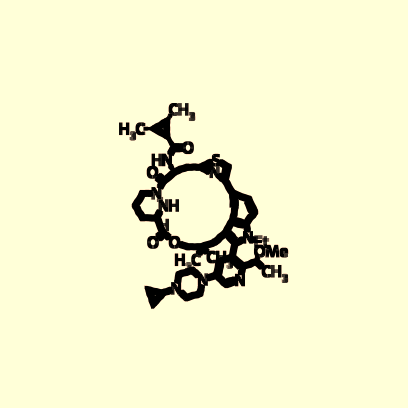 CCn1c(-c2cc(N3CCN(C4CC4)CC3)cnc2[C@H](C)OC)c2c3cc(ccc31)-c1csc(n1)C[C@H](NC(=O)[C@H]1[C@H](C)[C@@H]1C)C(=O)N1CCC[C@H](N1)C(=O)OCC(C)(C)C2